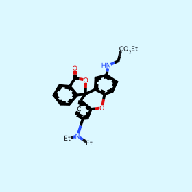 CCOC(=O)CNc1ccc2c(c1)C1(OC(=O)c3ccccc31)c1ccc(N(CC)CC)cc1O2